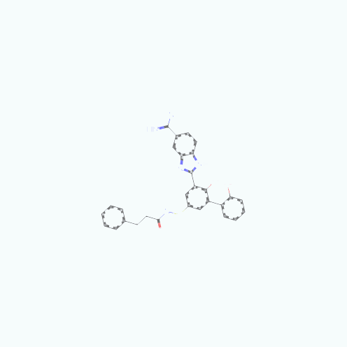 N=C(N)c1ccc2[nH]c(-c3cc(SNC(=O)CCc4ccccc4)cc(-c4ccccc4O)c3O)nc2c1